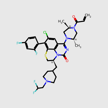 C=CC(=O)N1C[C@H](C)N(c2nc(=O)n3c4c(c(-c5ccc(F)cc5F)c(Cl)cc24)SC[C@@H]3CC2CCN(CC(F)F)CC2)C[C@H]1C